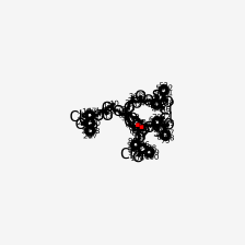 CC(COCC(COCC(C)OC(=O)COc1ccc(Cl)c2c(=O)c3ccccc3sc12)(COCC(C)OC(=O)COc1ccc(Cl)c2c(=O)c3ccccc3sc12)COCC(C)OC(=O)COc1ccc(Cl)c2c(=O)c3ccccc3sc12)OC(=O)COc1ccc(Cl)c2c1Cc1ccccc1C2=O